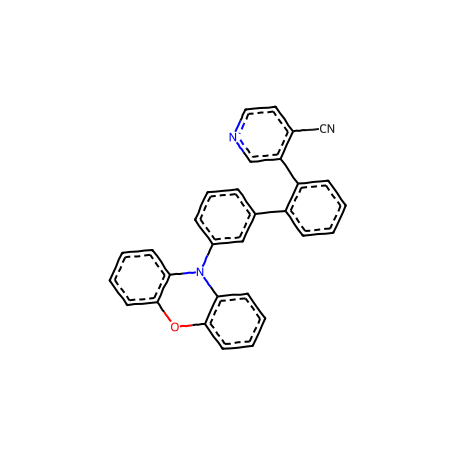 N#Cc1ccncc1-c1ccccc1-c1cccc(N2c3ccccc3Oc3ccccc32)c1